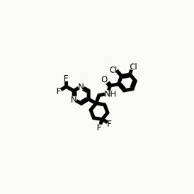 O=C(NCC1(c2cnc(C(F)F)nc2)CCC(F)(F)CC1)c1cccc(Cl)c1Cl